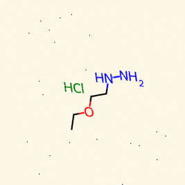 CCOCCNN.Cl